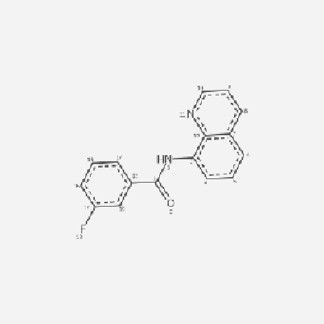 O=C(Nc1cccc2cccnc12)c1cccc(F)c1